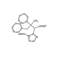 CCCCCCCCCn1ccnc1C(CCCCCCC)C(C)(Cc1ccccc1)c1ccccc1